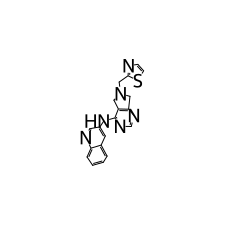 c1ccc2ncc(Nc3ncnc4c3CN(Cc3nccs3)C4)cc2c1